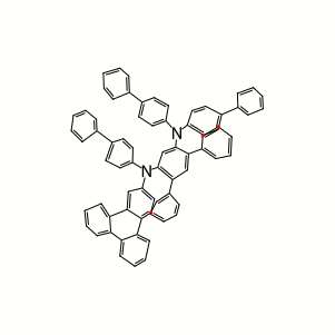 c1ccc(-c2ccc(N(c3ccc(-c4ccccc4)cc3)c3cc(N(c4ccc(-c5ccccc5)cc4)c4ccc5c6ccccc6c6ccccc6c5c4)c(-c4ccccc4)cc3-c3ccccc3)cc2)cc1